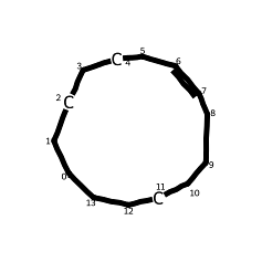 [CH]1CCCCC/C=C\CCCCCC1